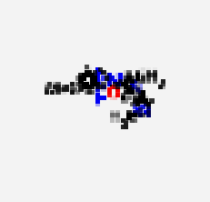 COc1ccc2nc(NC(=O)c3cc(C)n(Cc4cnn(C)c4)c3C)[nH]c2c1